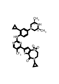 C[C@@H]1CN(c2ccc(Nc3ncc(C(F)(F)F)c(-c4cc5c(s4)C(=O)N(C4CC4)CCS5(=O)=O)n3)c(C3CC3)c2)C[C@H](C)N1